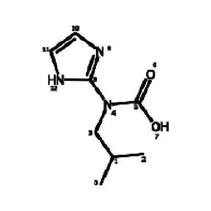 CC(C)CN(C(=O)O)c1ncc[nH]1